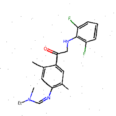 CCN(C)/C=N\c1cc(C)c(C(=O)CNc2c(F)cccc2F)cc1C